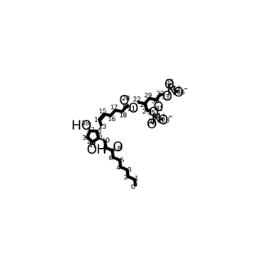 CCCCCCCC(=O)CC[C@@H]1[C@@H](C/C=C\CCCC(=O)OCC(CO[N+](=O)[O-])CC(=O)CO[N+](=O)[O-])[C@@H](O)C[C@H]1O